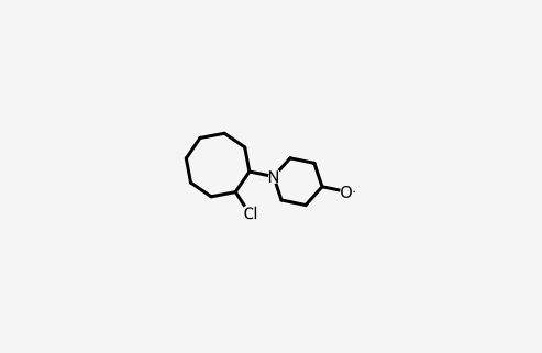 [O]C1CCN(C2CCCCCCC2Cl)CC1